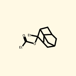 [CH2]CC(=O)OC1(CC)C2CC3CC(C2)CC1C3